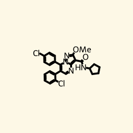 COc1nn2c(-c3ccc(Cl)cc3)c(-c3ccccc3Cl)cnc2c1C(=O)NC1CCCC1